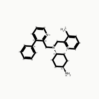 Cc1cccnc1CN(Cc1ncccc1-c1ccccc1)[C@H]1CC[C@H](N)CC1